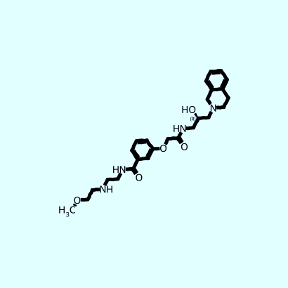 COCCNCCNC(=O)c1cccc(OCC(=O)NC[C@@H](O)CN2CCc3ccccc3C2)c1